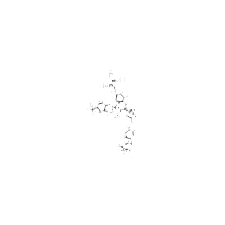 NS(=O)(=O)c1nc2ccc(OCc3cn([C@H](Cc4ccc(OC[C@H](O)[C@@H](O)CF)cc4)C(=O)N[C@@H](Cc4ccc(C(F)(F)F)cc4)C(=O)O)nn3)cc2s1